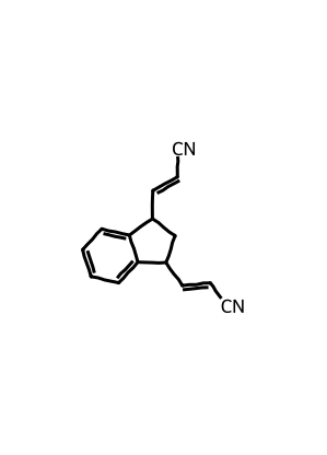 N#CC=CC1CC(C=CC#N)c2ccccc21